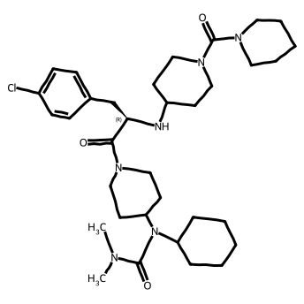 CN(C)C(=O)N(C1CCCCC1)C1CCN(C(=O)[C@@H](Cc2ccc(Cl)cc2)NC2CCN(C(=O)N3CCCCC3)CC2)CC1